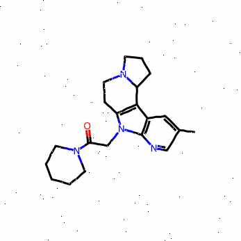 Cc1cnc2c(c1)c1c(n2CC(=O)N2CCCCC2)CCN2CCCC12